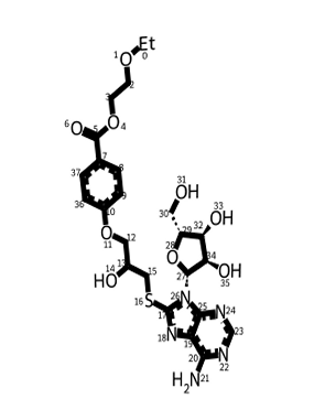 CCOCCOC(=O)c1ccc(OCC(O)CSc2nc3c(N)ncnc3n2[C@@H]2O[C@H](CO)[C@@H](O)[C@H]2O)cc1